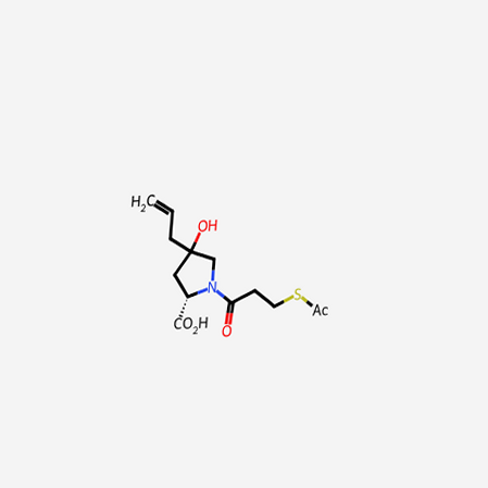 C=CCC1(O)C[C@@H](C(=O)O)N(C(=O)CCSC(C)=O)C1